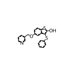 Oc1sc2ccc(OCc3cccnc3)cc2c1Sc1ccccc1